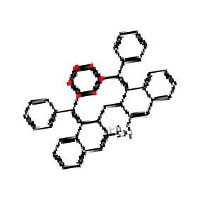 O=S(=O)(O)C1=Cc2ccccc2C(=C(c2ccccc2)c2ccccc2)C1CC1C(S(=O)(=O)O)=Cc2ccccc2C1=C(c1ccccc1)c1ccccc1